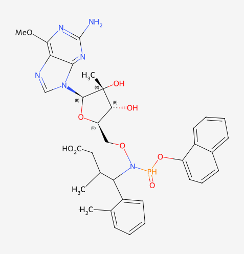 [CH2]c1ccccc1C(C(C)CC(=O)O)N(OC[C@H]1O[C@@H](n2cnc3c(OC)nc(N)nc32)[C@](C)(O)[C@@H]1O)[PH](=O)Oc1cccc2ccccc12